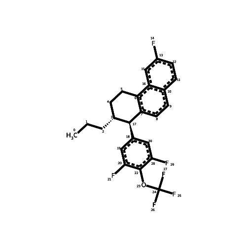 CCC[C@@H]1CCc2c(ccc3ccc(F)cc23)[C@H]1c1cc(F)c(OC(F)(F)F)c(F)c1